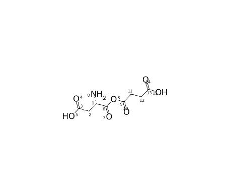 N[C@@H](CC(=O)O)C(=O)OC(=O)CCC(=O)O